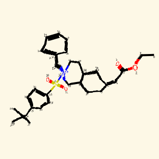 CCOC(=O)/C=C1/CCC2C[N+](Cc3ccccc3)(S(=O)(=O)c3ccc(C(C)(C)C)cc3)CCC2C1